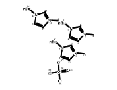 CCCCn1cc[n+](C)c1.CCCCn1cc[n+](C)c1.CCCCn1cc[n+](C)c1.[O]=[Sb]([O-])([O-])[O-]